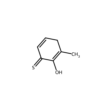 CC1=C(O)C(=S)C=CC1